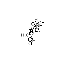 C[C@H]1CN(C(=O)CCC2(c3cccnc3)NC(O)NC2=O)CCN1c1ccc(Cl)c(F)c1